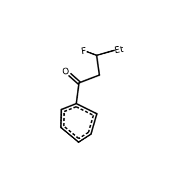 CCC(F)CC(=O)c1ccccc1